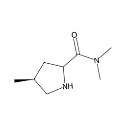 C[C@@H]1CNC(C(=O)N(C)C)C1